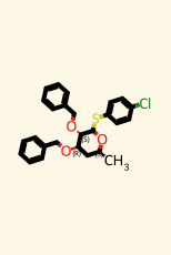 C[C@H]1C[C@@H](OCc2ccccc2)[C@H](OCc2ccccc2)C(Sc2ccc(Cl)cc2)O1